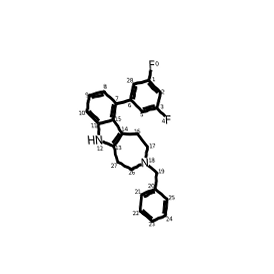 Fc1cc(F)cc(-c2cccc3[nH]c4c(c23)CCN(Cc2ccccc2)CC4)c1